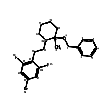 CC1(OCc2ccccc2)CCCCN1CCc1c(F)cc(Br)cc1F